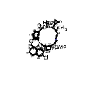 CO[C@H]1/C=C/C[C@H](C)C(C2CC2)S(=O)(=O)NC(=O)c2ccc3c(c2)N(C[C@@H]2CC[C@H]21)C[C@@]1(CCCc2cc(Cl)ccc21)CO3